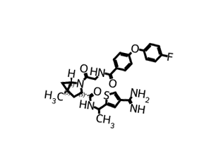 CC(NC(=O)[C@@H]1C[C@]2(C)C[C@@H]2N1C(=O)CNC(=O)c1ccc(Oc2ccc(F)cc2)cc1)c1cc(C(=N)N)cs1